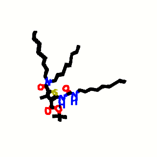 CCCCCCCCNC(=O)Nc1sc(C(=O)N(CCCCCCCC)CCCCCCCC)c(C)c1C(=O)OC(C)(C)C